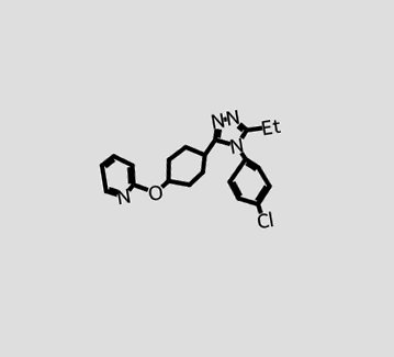 CCc1nnc(C2CCC(Oc3ccccn3)CC2)n1-c1ccc(Cl)cc1